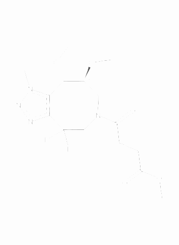 COC(=O)CCC(=O)N1C[C@H](OC)[C@@H](OC)c2c(nnn2C)C(F)(F)C1